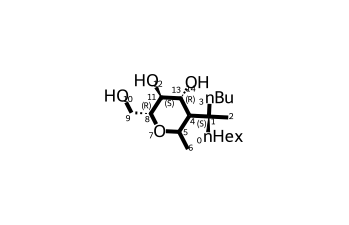 CCCCCC[C@](C)(CCCC)C1C(C)O[C@H](CO)[C@@H](O)[C@@H]1O